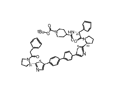 CC(C)(C)OC(=O)N1CCC(C(=O)N[C@@H](C(=O)N2CCC[C@H]2c2ncc(-c3ccc(-c4ccc(-c5cnc([C@@H]6CCCN6C(=O)Cc6ccccc6)s5)cc4)cc3)s2)c2ccccc2)CC1